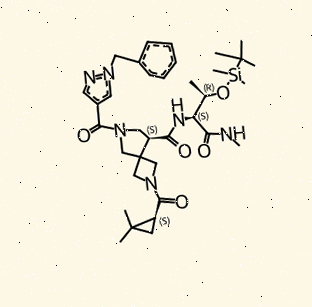 CNC(=O)[C@@H](NC(=O)[C@@H]1CN(C(=O)c2cnn(Cc3ccccc3)c2)CC12CN(C(=O)[C@H]1CC1(C)C)C2)[C@@H](C)O[Si](C)(C)C(C)(C)C